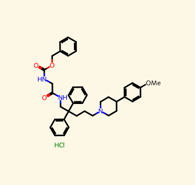 COc1ccc(C2CCN(CCCC(CNC(=O)CNC(=O)OCc3ccccc3)(c3ccccc3)c3ccccc3)CC2)cc1.Cl